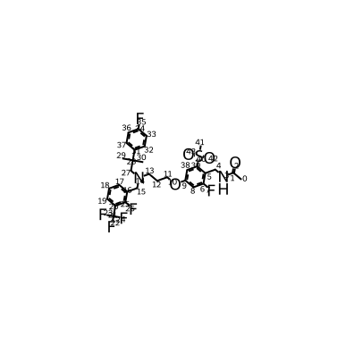 CC(=O)NCc1c(F)cc(OCCCN(Cc2cccc(C(F)(F)F)c2F)CC(C)(C)c2ccc(F)cc2)cc1S(C)(=O)=O